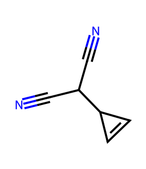 N#CC(C#N)C1C=C1